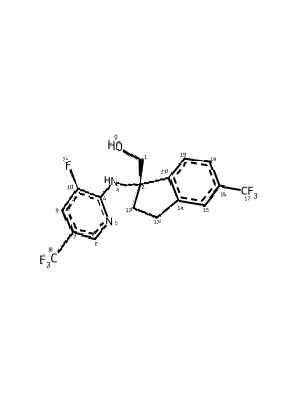 OC[C@]1(Nc2ncc(C(F)(F)F)cc2F)CCc2cc(C(F)(F)F)ccc21